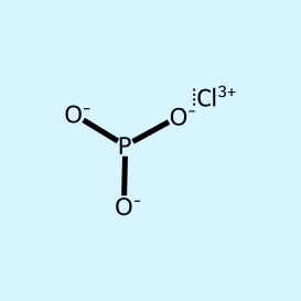 [Cl+3].[O-]P([O-])[O-]